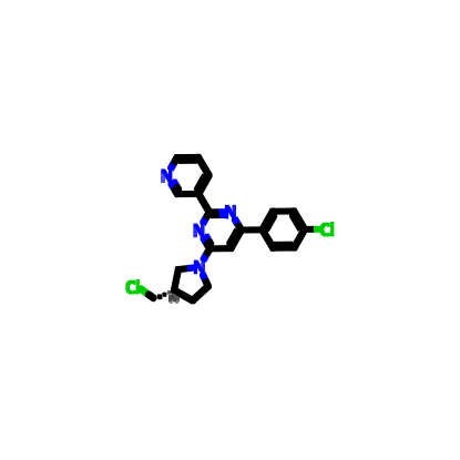 ClC[C@H]1CCN(c2cc(-c3ccc(Cl)cc3)nc(-c3cccnc3)n2)C1